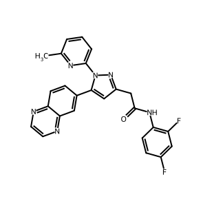 Cc1cccc(-n2nc(CC(=O)Nc3ccc(F)cc3F)cc2-c2ccc3nccnc3c2)n1